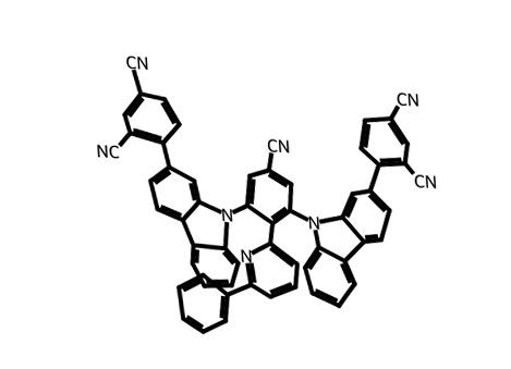 N#Cc1ccc(-c2ccc3c4ccccc4n(-c4cc(C#N)cc(-n5c6ccccc6c6ccc(-c7ccc(C#N)cc7C#N)cc65)c4-c4cccc(-c5ccccc5)n4)c3c2)c(C#N)c1